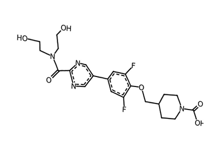 O=C(O)N1CCC(COc2c(F)cc(-c3cnc(C(=O)N(CCO)CCO)nc3)cc2F)CC1